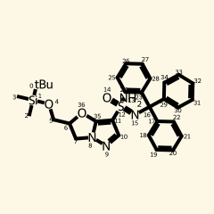 CC(C)(C)[Si](C)(C)OCC1Cn2ncc(S(N)(=O)=NC(c3ccccc3)(c3ccccc3)c3ccccc3)c2O1